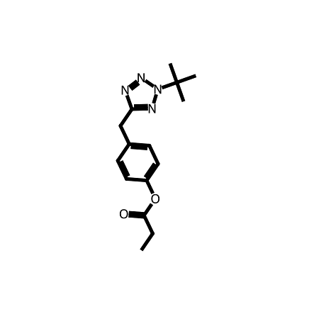 CCC(=O)Oc1ccc(Cc2nnn(C(C)(C)C)n2)cc1